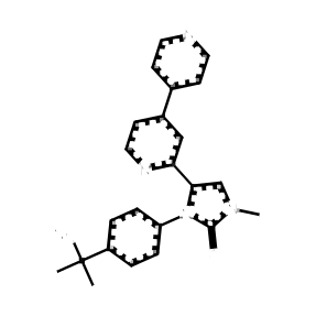 Cn1cc(-c2cc(-c3ccncc3)ccn2)n(-c2ccc(C(C)(C)C#N)cc2)c1=O